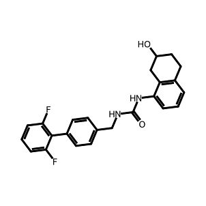 O=C(NCc1ccc(-c2c(F)cccc2F)cc1)Nc1cccc2c1CC(O)CC2